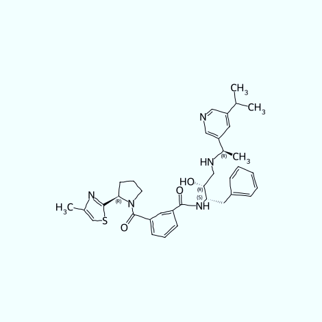 Cc1csc([C@H]2CCCN2C(=O)c2cccc(C(=O)N[C@@H](Cc3ccccc3)[C@H](O)CN[C@H](C)c3cncc(C(C)C)c3)c2)n1